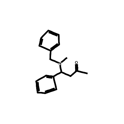 CC(=O)CC(c1ccccc1)N(C)Cc1ccccc1